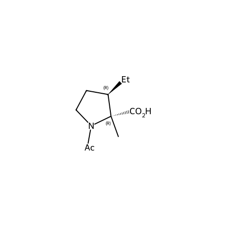 CC[C@@H]1CCN(C(C)=O)[C@@]1(C)C(=O)O